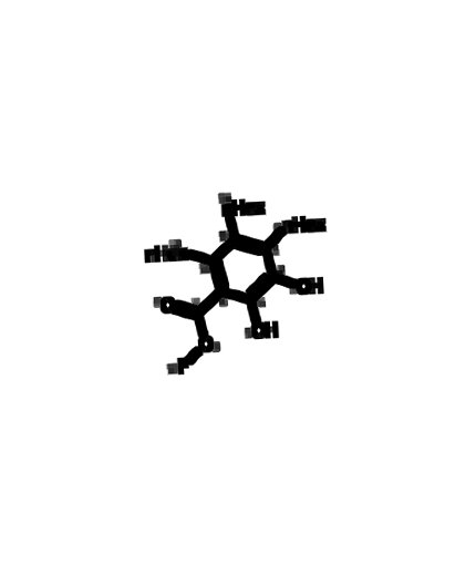 CCCCCCc1c(O)c(O)c(C(=O)OF)c(CCCCCC)c1CCCCCC